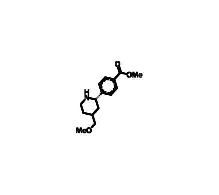 COCC1CCN[C@H](c2ccc(C(=O)OC)cc2)C1